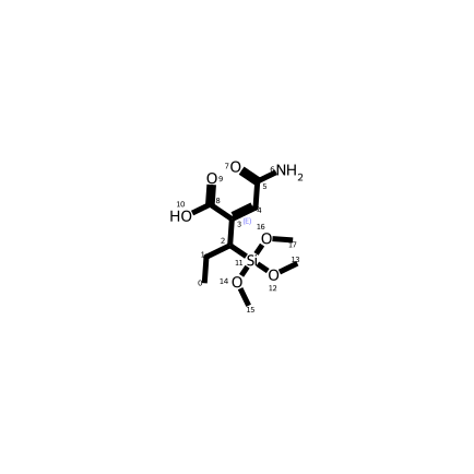 CCC(/C(=C/C(N)=O)C(=O)O)[Si](OC)(OC)OC